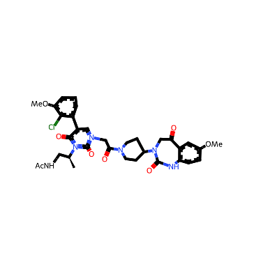 COc1ccc2c(c1)C(=O)CN(C1CCN(C(=O)Cn3cc(-c4cccc(OC)c4Cl)c(=O)n([C@@H](C)CNC(C)=O)c3=O)CC1)C(=O)N2